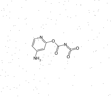 Nc1ccnc(OC(=O)N=S(=O)=O)c1